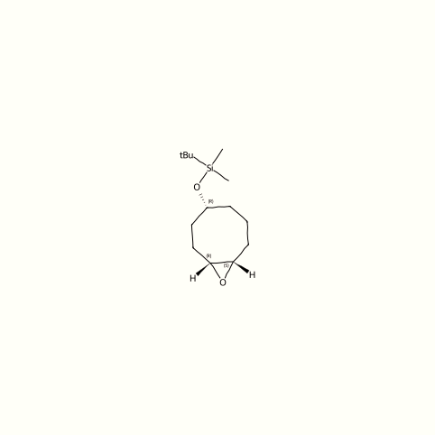 CC(C)(C)[Si](C)(C)O[C@@H]1CCC[C@@H]2O[C@@H]2CC1